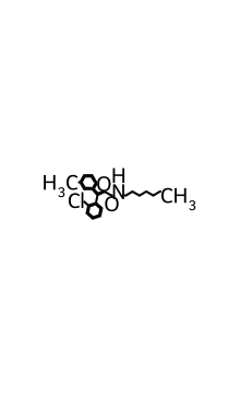 CCCCCCCNC(=O)c1oc2ccc(C)cc2c1-c1ccccc1Cl